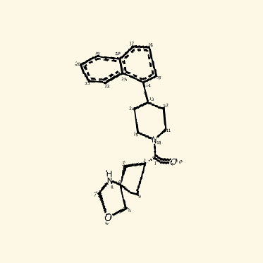 O=C([C@H]1C[C@]2(COCN2)C1)N1CCC(c2cccc3ccccc23)CC1